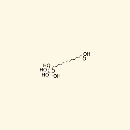 O=C(O)CCCCCCCCCCCCCC1O[C@H](CO)[C@@H](O)[C@H](O)[C@H]1O